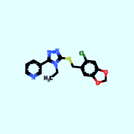 CCn1c(SCc2cc3c(cc2Cl)OCO3)nnc1-c1cccnc1